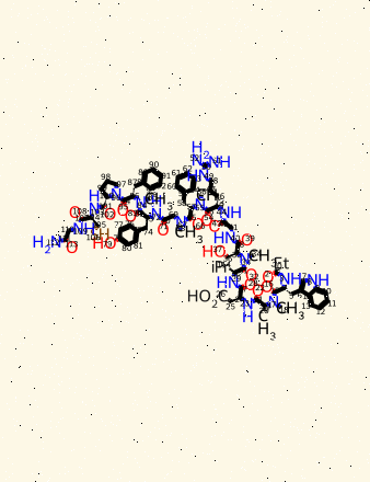 CCC(=O)N[C@H](Cc1c[nH]c2ccccc12)C(=O)N(C)[C@@H](C)C(=O)N[C@@H](CC(=O)O)C(=O)N[C@H](C(=O)N(C)[C@@H](CO)C(=O)NCC(=O)N[C@@H](CCCNC(=N)N)C(=O)N(C)[C@@H](Cc1ccccc1)C(=O)N(C)CC(=O)N[C@@H](Cc1ccc(O)cc1)C(=O)N(C)[C@@H](Cc1ccccc1)C(=O)N1CCC[C@H]1C(=O)N[C@@H](CS)C(=O)NCC(N)=O)C(C)C